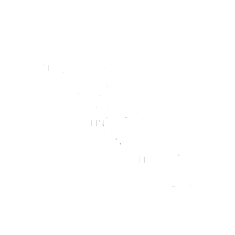 Cc1nc(NS(=O)(=O)c2ccc(F)c(C(F)(F)F)c2)ccc1COCC1CC1